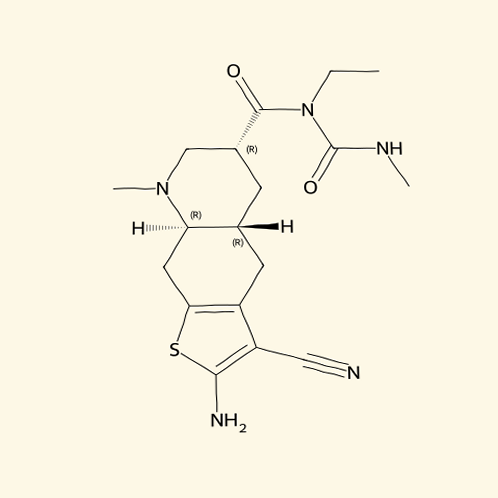 CCN(C(=O)NC)C(=O)[C@@H]1C[C@@H]2Cc3c(sc(N)c3C#N)C[C@H]2N(C)C1